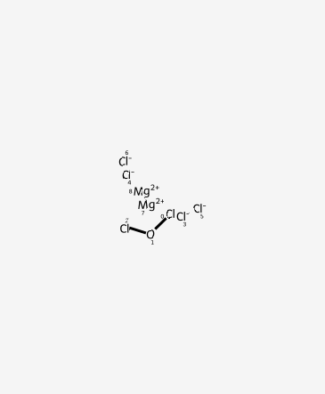 ClOCl.[Cl-].[Cl-].[Cl-].[Cl-].[Mg+2].[Mg+2]